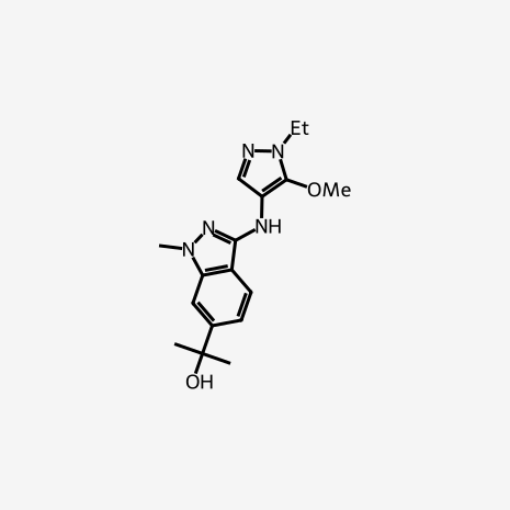 CCn1ncc(Nc2nn(C)c3cc(C(C)(C)O)ccc23)c1OC